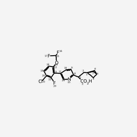 O=C(O)C(CC12CC(C1)C2)c1ccc(-c2c(OC(F)F)ccc(Cl)c2F)cn1